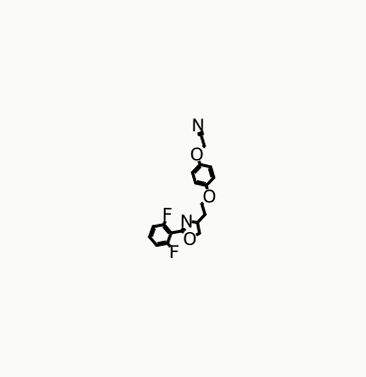 N#CCOc1ccc(OCCC2COC(c3c(F)cccc3F)=N2)cc1